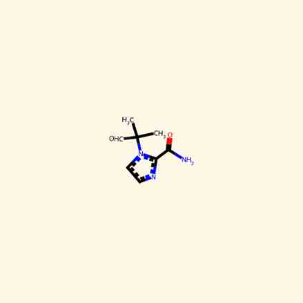 CC(C)(C=O)n1c[c]nc1C(N)=O